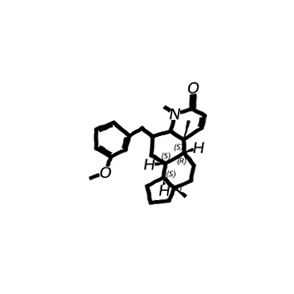 COc1cccc(CC2C[C@@H]3[C@@H](CC[C@]4(C)CCC[C@@H]34)[C@@]3(C)C=CC(=O)N(C)C23)c1